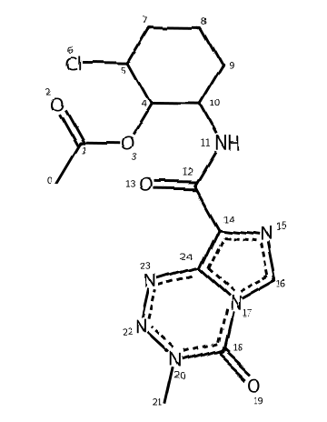 CC(=O)OC1C(Cl)CCCC1NC(=O)c1ncn2c(=O)n(C)nnc12